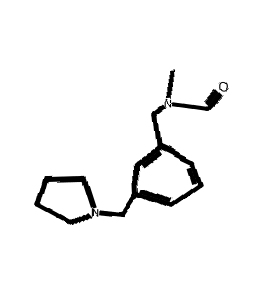 CN(C=O)Cc1cccc(CN2CCCC2)c1